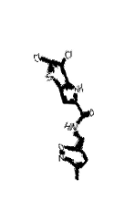 Cc1cc(CNC(=O)c2cc3sc(Cl)c(Cl)c3[nH]2)on1